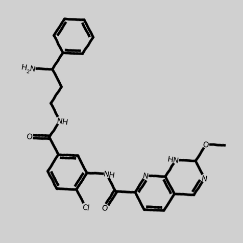 COC1N=Cc2ccc(C(=O)Nc3cc(C(=O)NCCC(N)c4ccccc4)ccc3Cl)nc2N1